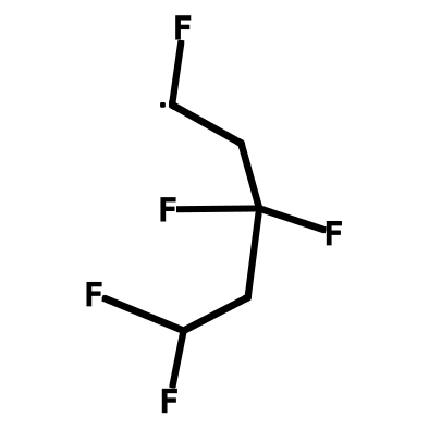 F[CH]CC(F)(F)CC(F)F